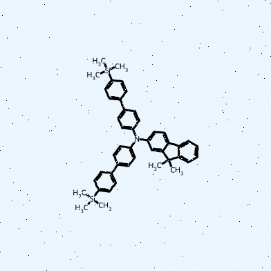 CC1(C)c2ccccc2-c2ccc(N(c3ccc(-c4ccc([Si](C)(C)C)cc4)cc3)c3ccc(-c4ccc([Si](C)(C)C)cc4)cc3)cc21